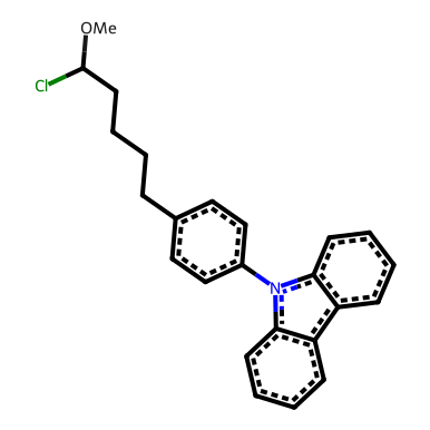 COC(Cl)CCCCc1ccc(-n2c3ccccc3c3ccccc32)cc1